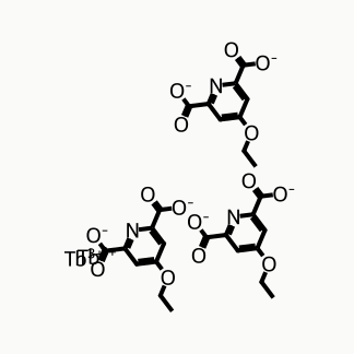 CCOc1cc(C(=O)[O-])nc(C(=O)[O-])c1.CCOc1cc(C(=O)[O-])nc(C(=O)[O-])c1.CCOc1cc(C(=O)[O-])nc(C(=O)[O-])c1.[Tb+3].[Tb+3]